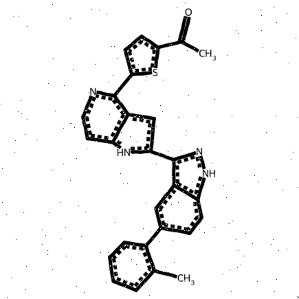 CC(=O)c1ccc(-c2nccc3[nH]c(-c4n[nH]c5ccc(-c6ccccc6C)cc45)cc23)s1